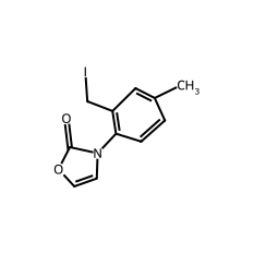 Cc1ccc(-n2ccoc2=O)c(CI)c1